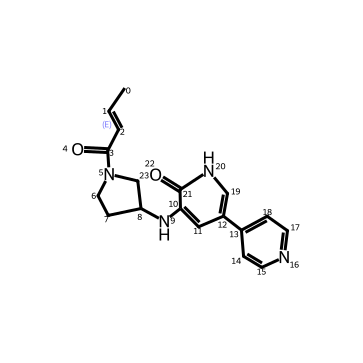 C/C=C/C(=O)N1CCC(Nc2cc(-c3ccncc3)c[nH]c2=O)C1